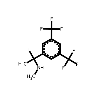 CNC(C)(I)c1cc(C(F)(F)F)cc(C(F)(F)F)c1